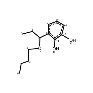 CCCCOC(CC)c1cccc(O)c1O